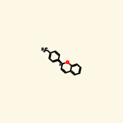 FC(F)(F)c1ccc([C@@H]2C=Cc3ccccc3O2)cc1